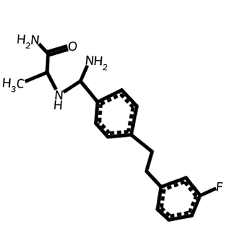 CC(NC(N)c1ccc(CCc2cccc(F)c2)cc1)C(N)=O